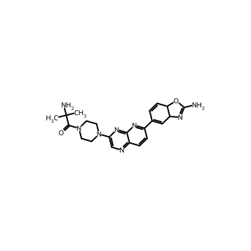 CC(C)(N)C(=O)N1CCN(c2cnc3ccc(C4=CC5N=C(N)OC5C=C4)nc3n2)CC1